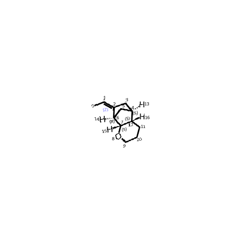 C/C=C1/C[C@@H]2C[C@H]1[C@H]1OCCC[C@@H]21